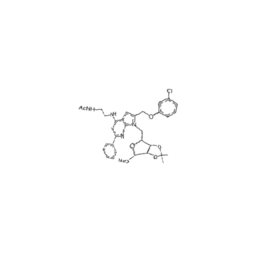 COC1OC(Cn2c(COc3cccc(Cl)c3)cc3c(NCCNC(C)=O)nc(-c4ccccc4)nc32)C2OC(C)(C)OC12